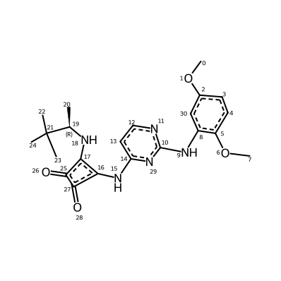 COc1ccc(OC)c(Nc2nccc(Nc3c(N[C@H](C)C(C)(C)C)c(=O)c3=O)n2)c1